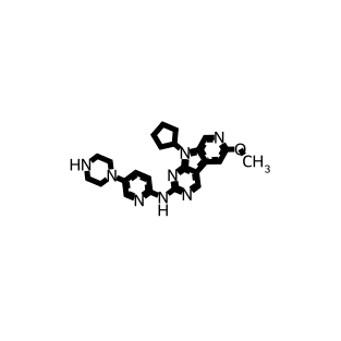 COc1cc2c3cnc(Nc4ccc(N5CCNCC5)cn4)nc3n(C3CCCC3)c2cn1